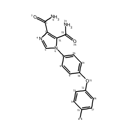 NC(=O)c1ncn(-c2ccc(Oc3ccc(Cl)cc3)cc2)c1C(N)=O